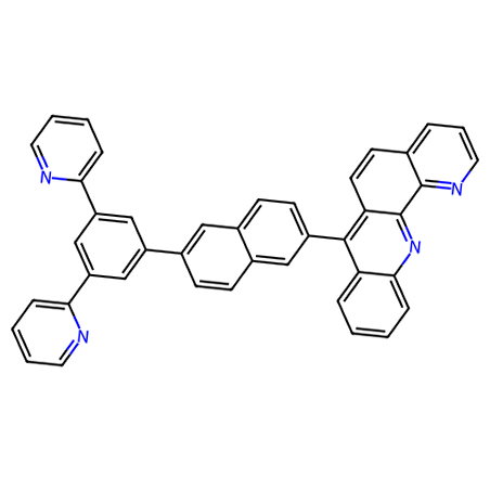 c1ccc(-c2cc(-c3ccc4cc(-c5c6ccccc6nc6c5ccc5cccnc56)ccc4c3)cc(-c3ccccn3)c2)nc1